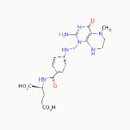 CN1CCNc2c1c(=O)nc(N)n2CNc1ccc(C(=O)N[C@@H](CCC(=O)O)C(=O)O)cc1